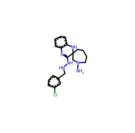 NN1CCCCC2(C1)Nc1ccccc1N=C2NNCc1cccc(Cl)c1